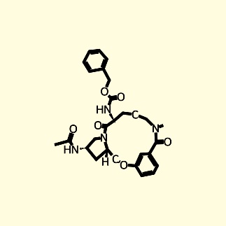 CC(=O)N[C@H]1C[C@H]2COc3cccc(c3)C(=O)N(C)CCC[C@H](NC(=O)OCc3ccccc3)C(=O)N2C1